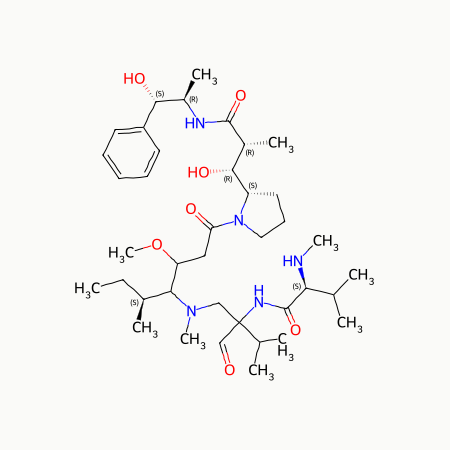 CC[C@H](C)C(C(CC(=O)N1CCC[C@H]1[C@H](O)[C@@H](C)C(=O)N[C@H](C)[C@@H](O)c1ccccc1)OC)N(C)CC(C=O)(NC(=O)[C@@H](NC)C(C)C)C(C)C